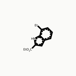 CCOC(=O)c1cc2cccc(CC)c2[nH]1